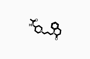 CC(=O)NC1CCN(CCCN2C(=O)CCc3ccccc32)CC1